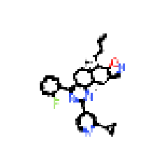 C=CCC[C@H]1c2oncc2C[C@@]2(C)c3nc(-c4ccnc(C5CC5)c4)nc(-c4ccccc4F)c3CC[C@H]12